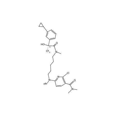 CCCN(CCCCCN(C)C(=O)[C@@](O)(c1cccc(C2CC2)c1)C(F)(F)F)c1ccc(C(=O)N(C)C)c(Cl)n1